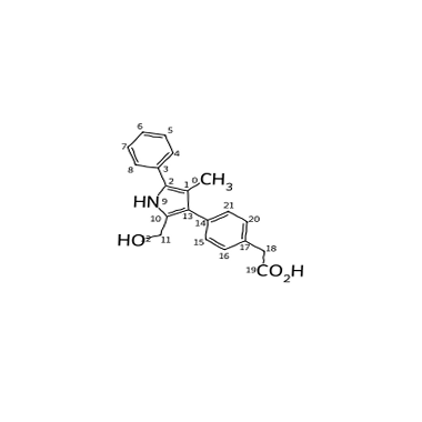 Cc1c(-c2ccccc2)[nH]c(CO)c1-c1ccc(CC(=O)O)cc1